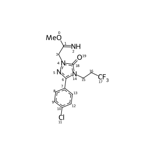 COC(=N)Cn1nc(-c2ccc(Cl)cc2)n(CCC(F)(F)F)c1=O